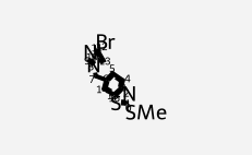 CSc1nc2ccc(Cn3cnc(Br)c3)cc2s1